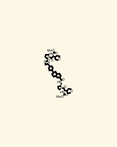 COC(=O)N[C@H](C(=O)N1CCC[C@H]1CNC(=O)c1ccc2cc(-c3ccc(-c4cnc([C@@H]5CCCN5C(=O)[C@@H](NC(=O)OC)C5CCOCC5)[nH]4)cc3)ccc2c1)C1CCOCC1